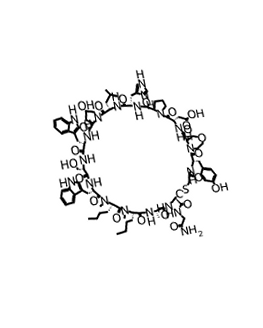 CCCC[C@H]1C(=O)N(C)[C@@H](CCCC)C(=O)N[C@@H](C)C(=O)N[C@H](C(=O)NCC(N)=O)CSCC(=O)N[C@@H](Cc2ccc(O)cc2)C(=O)N2CCOC[C@H]2C(=O)N[C@@H](CC(=O)O)C(=O)N2CCC[C@H]2C(=O)N[C@@H](Cc2c[nH]cn2)C(=O)N[C@@H](CC(C)C)C(=O)N2C[C@H](O)C[C@H]2C(=O)N[C@@H](Cc2c[nH]c3ccccc23)C(=O)N[C@@H](CO)C(=O)N[C@@H](Cc2c[nH]c3ccccc23)C(=O)N1C